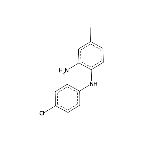 Cc1ccc(Nc2ccc(Cl)cc2)c(N)c1